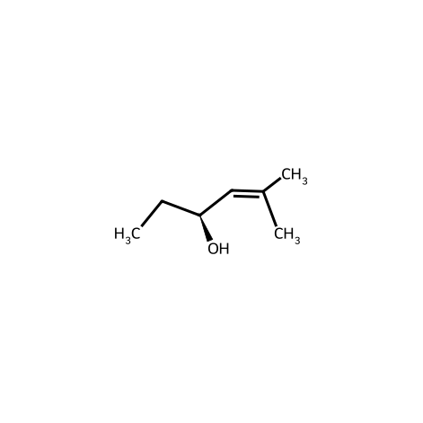 CC[C@H](O)C=C(C)C